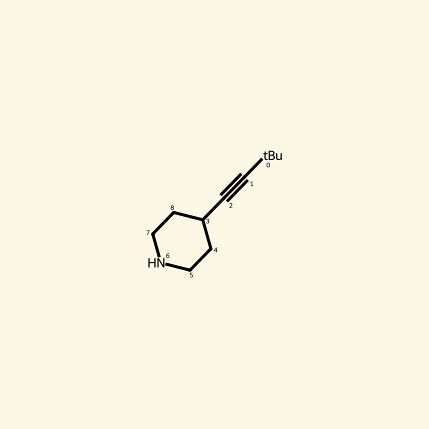 CC(C)(C)C#CC1CCNCC1